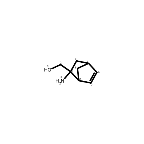 NC1(CO)CC2C=CC1C2